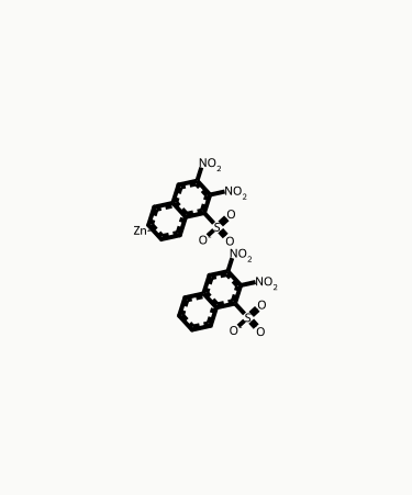 O=[N+]([O-])c1cc2ccccc2c(S(=O)(=O)[O-])c1[N+](=O)[O-].O=[N+]([O-])c1cc2ccccc2c(S(=O)(=O)[O-])c1[N+](=O)[O-].[Zn+2]